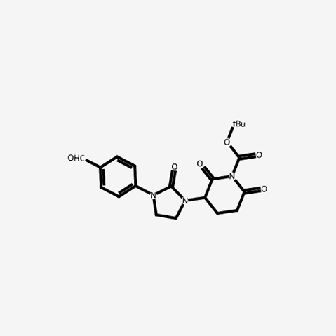 CC(C)(C)OC(=O)N1C(=O)CCC(N2CCN(c3ccc(C=O)cc3)C2=O)C1=O